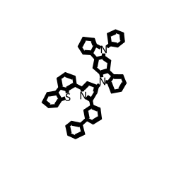 c1ccc(-c2cccc(-c3cc(-n4c5ccccc5c5cc6c(cc54)c4ccccc4n6-c4ccccc4)cc(-c4cccc5c4sc4ccccc45)n3)c2)cc1